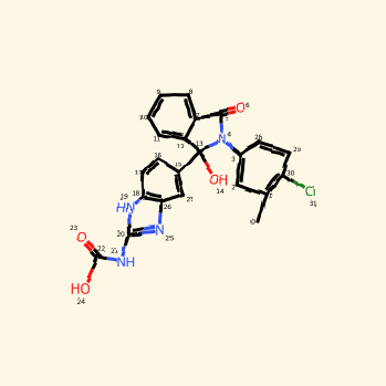 Cc1cc(N2C(=O)c3ccccc3C2(O)c2ccc3[nH]c(NC(=O)O)nc3c2)ccc1Cl